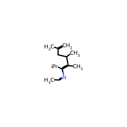 C=C(C)CC(C)/C(C)=C(/N=C\C)C(C)C